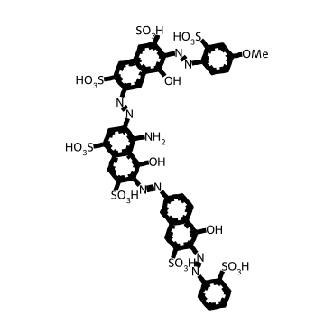 COc1ccc(N=Nc2c(S(=O)(=O)O)cc3cc(S(=O)(=O)O)c(N=Nc4cc(S(=O)(=O)O)c5cc(S(=O)(=O)O)c(N=Nc6ccc7c(O)c(N=Nc8ccccc8S(=O)(=O)O)c(S(=O)(=O)O)cc7c6)c(O)c5c4N)cc3c2O)c(S(=O)(=O)O)c1